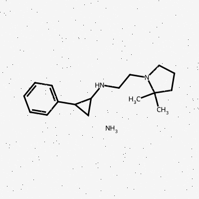 CC1(C)CCCN1CCNC1CC1c1ccccc1.N